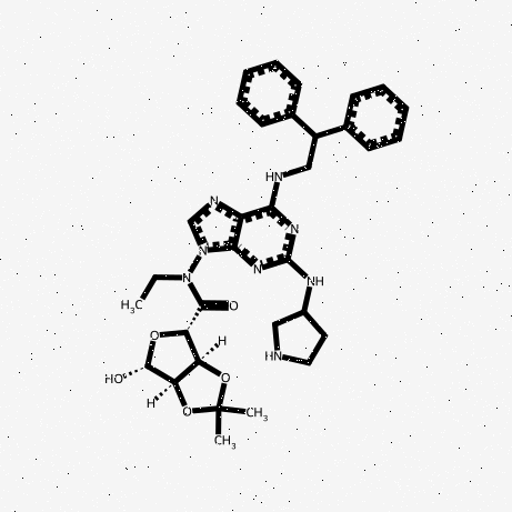 CCN(C(=O)[C@H]1O[C@@H](O)[C@@H]2OC(C)(C)O[C@@H]21)n1cnc2c(NCC(c3ccccc3)c3ccccc3)nc(NC3CCNC3)nc21